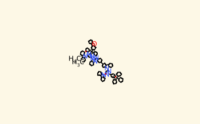 C=Cc1c(/C=C\C)n(-c2cc(-n3c4ccccc4n4c5cc(-c6ccc7c(c6)c6ccccc6n7-c6cc(-n7c8ccccc8c8ccccc87)nc(-c7ccc([Si](c8ccccc8)(c8ccccc8)c8ccccc8)cc7)n6)ccc5nc34)nc([Si](c3ccccc3)(c3ccccc3)c3ccc4oc5ccccc5c4c3)n2)c2ccccc12